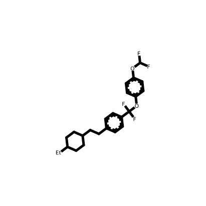 CCC1CCC(CCc2ccc(C(F)(F)Oc3ccc(OC(F)F)cc3)cc2)CC1